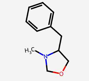 CN1COCC1Cc1ccccc1